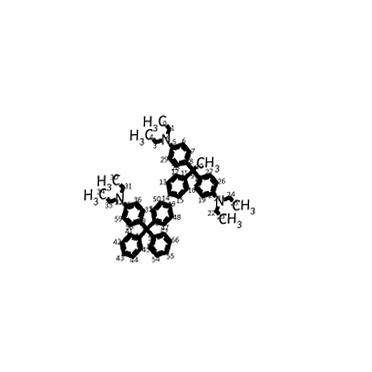 CCN(CC)c1ccc(C(C)(c2ccccc2)c2ccc(N(CC)CC)cc2)cc1.CCN(CC)c1ccc(C(c2ccccc2)(c2ccccc2)c2ccccc2)cc1